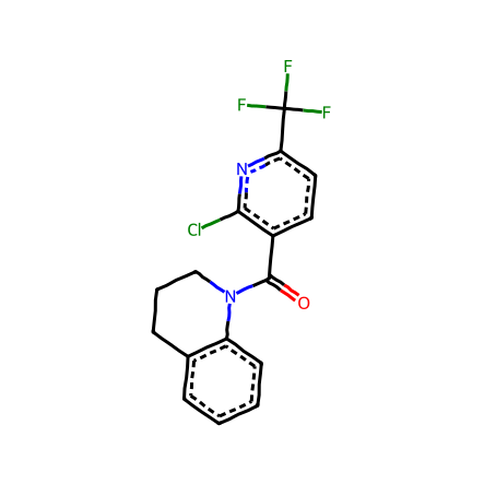 O=C(c1ccc(C(F)(F)F)nc1Cl)N1CCCc2ccccc21